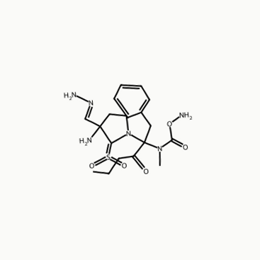 CCCC(=O)C(Cc1ccccc1)(N(C)C(=O)ON)N1CCC(N)(C=NN)C1=S(=O)=O